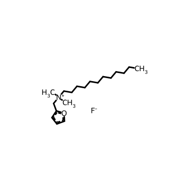 CCCCCCCCCCCC[N+](C)(C)Cc1ccco1.[F-]